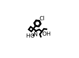 CCC(O)(CC)C/C(=N/O)C1(c2ccc(Cl)cc2)CCC1